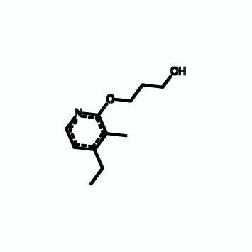 CCc1ccnc(OCCCO)c1C